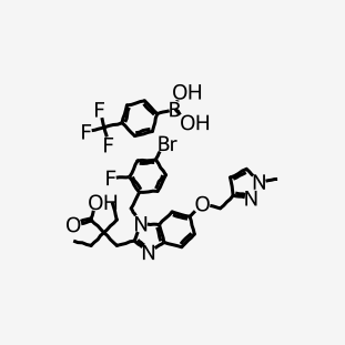 CCC(CC)(Cc1nc2ccc(OCc3ccn(C)n3)cc2n1Cc1ccc(Br)cc1F)C(=O)O.OB(O)c1ccc(C(F)(F)F)cc1